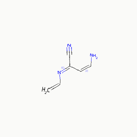 C=C/N=C(C#N)\C=C/N